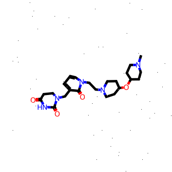 CN1CCC(OC2CCN(CCn3cccc(CN4CCC(=O)NC4=O)c3=O)CC2)CC1